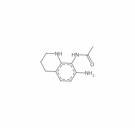 CC(=O)Nc1c(N)ccc2c1NCCC2